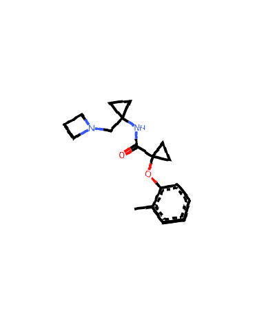 Cc1ccccc1OC1(C(=O)NC2(CN3CCC3)CC2)CC1